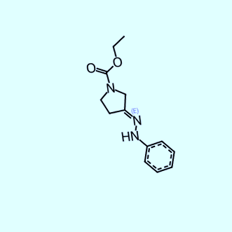 CCOC(=O)N1CC/C(=N\Nc2ccccc2)C1